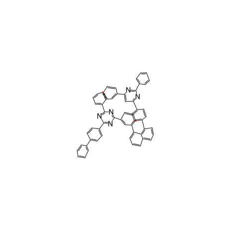 c1ccc(-c2ccc(-c3nc(-c4ccccc4)nc(-c4cccc(-c5cccc6cccc(-c7ccc(-c8cc(-c9ccccc9)nc(-c9ccccc9)n8)cc7)c56)c4)n3)cc2)cc1